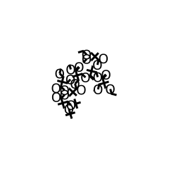 C=C(OCC(C)(COC(=O)C(C)(COC(=O)C(C)(COC)COC)COC(=O)C(C)(COC(C)(C)C)COC(C)(C)C)C(=O)OC)C(C)(COC(=O)C(C)(COC)COCC)COC(=O)C(C)(COC)COCC